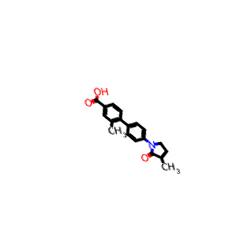 Cc1cc(C(=O)O)ccc1-c1ccc(N2CCC(C)C2=O)cc1